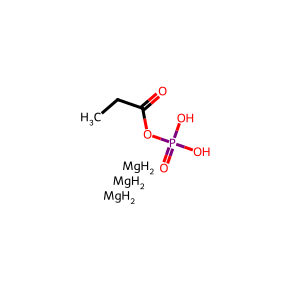 CCC(=O)OP(=O)(O)O.[MgH2].[MgH2].[MgH2]